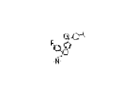 C[N]CCC(Oc1ccc(C(=O)c2ccc(C(C)C)cc2)cc1)c1ccc(F)cc1